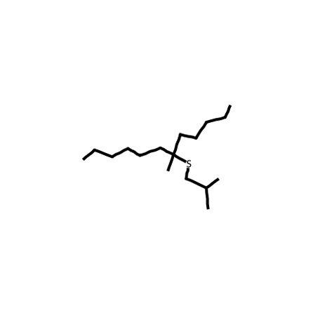 CCCCCCC(C)(CCCCC)SCC(C)C